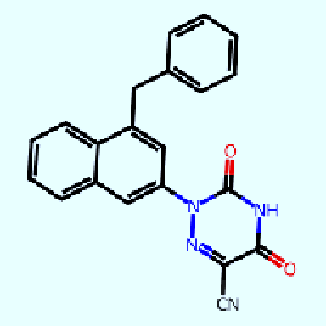 N#Cc1nn(-c2cc(Cc3ccccc3)c3ccccc3c2)c(=O)[nH]c1=O